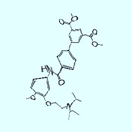 COC(=O)c1cc(C(=O)OC)cc(-c2ccc(C(=O)Nc3ccc(OC)c(OCCN(C(C)C)C(C)C)c3)cc2)c1